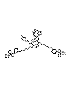 CCC(=O)Oc1cccc(CCCCCCCC2SSC(CCCCCCCc3cccc(OC(=O)CC)c3)C(CC3SSSSCC4CC3S4)SSC2CSCC2CC(C)S2)c1